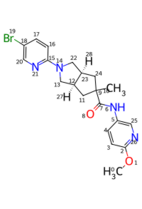 COc1ccc(NC(=O)C2(C)C[C@H]3CN(c4ccc(Br)cn4)C[C@H]3C2)cn1